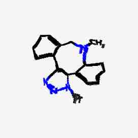 CC(C)n1nnc2c1-c1ccccc1N(C)Cc1ccccc1-2